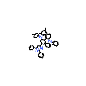 Cc1ccc2c(c1)c1cc(C)ccc1n2-c1cc(-c2cc(-c3ccccc3)nc(-c3ccccc3)n2)ccc1-c1ccccc1-n1c2ccccc2c2ccccc21